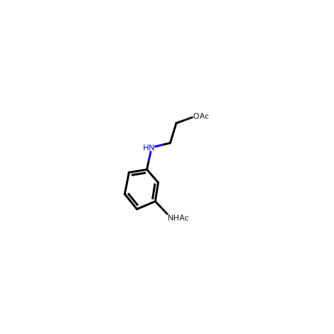 CC(=O)Nc1cccc(NCCOC(C)=O)c1